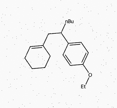 CCCCC(CC1=CCCCC1)c1ccc(OCC)cc1